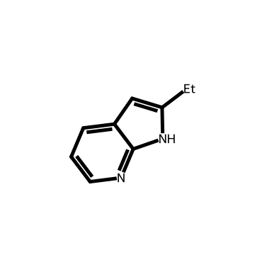 [CH2]Cc1cc2cccnc2[nH]1